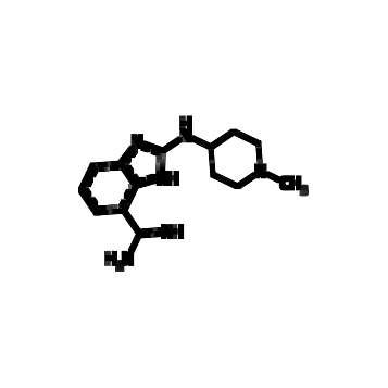 CN1CCC(Nc2nc3cccc(C(=N)N)c3[nH]2)CC1